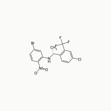 C[C@@H](Nc1cc(Br)ccc1[N+](=O)[O-])c1ccc(Cl)cc1C(F)(F)F